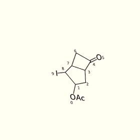 CC(=O)OC1CC2C(=O)CC2C1I